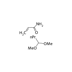 C=CC(N)=O.CCCC(OC)OC